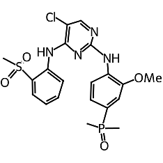 COc1cc(P(C)(C)=O)ccc1Nc1ncc(Cl)c(Nc2ccccc2S(C)(=O)=O)n1